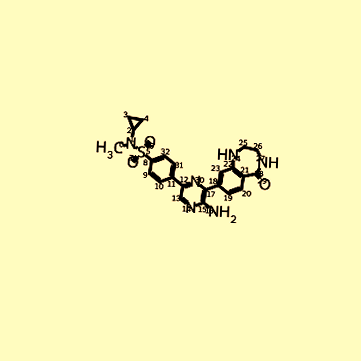 CN(C1CC1)S(=O)(=O)c1ccc(-c2cnc(N)c(-c3ccc4c(c3)NCCNC4=O)n2)cc1